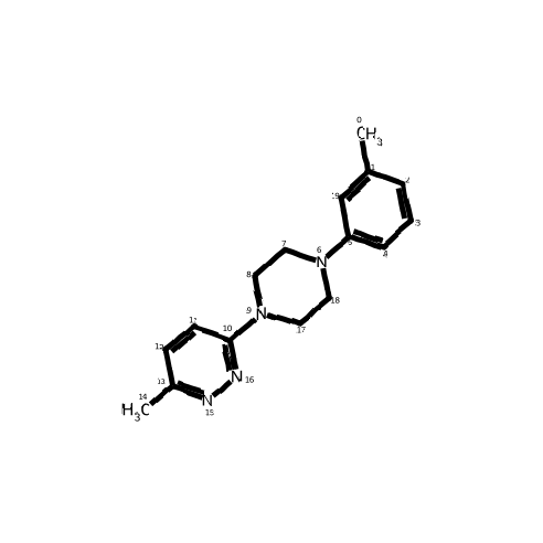 Cc1cccc(N2CCN(c3ccc(C)nn3)CC2)c1